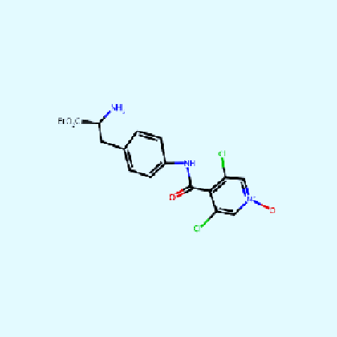 CCOC(=O)[C@@H](N)Cc1ccc(NC(=O)c2c(Cl)c[n+]([O-])cc2Cl)cc1